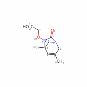 CC1=C[C@H]2CN(C1)C(=O)N2OCC(=O)O